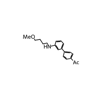 COCCCCNc1cccc(-c2ccc(C(C)=O)cc2)c1